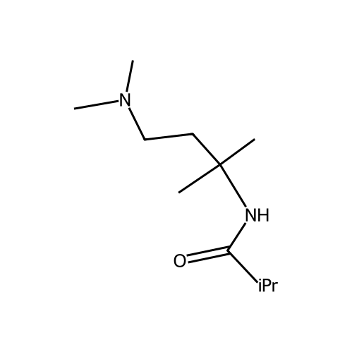 CC(C)C(=O)NC(C)(C)CCN(C)C